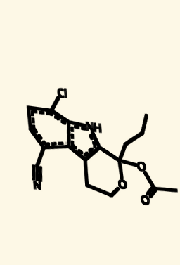 CCCC1(OC(C)=O)OCCc2c1[nH]c1c(Cl)ccc(C#N)c21